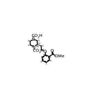 COC(=O)c1ccccc1OCC[C@@H]1CN(C(=O)O)CCN1C(=O)O